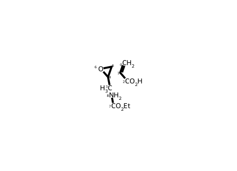 C=CC(=O)O.CC1CO1.CCOC(N)=O